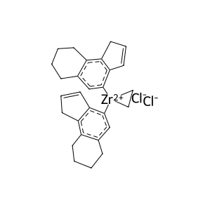 C1=Cc2[c]([Zr+2]3([c]4cc5c(c6c4C=CC6)CCCC5)[CH2][CH2]3)cc3c(c2C1)CCCC3.[Cl-].[Cl-]